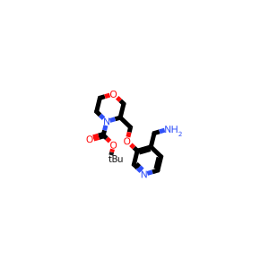 CC(C)(C)OC(=O)N1CCOCC1COc1cnccc1CN